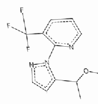 COC(C)c1[c]cnn1-c1ncccc1C(F)(F)F